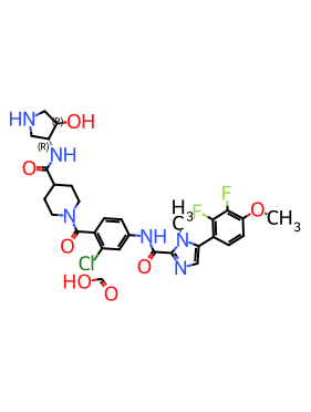 COc1ccc(-c2cnc(C(=O)Nc3ccc(C(=O)N4CCC(C(=O)N[C@@H]5CNC[C@H]5O)CC4)c(Cl)c3)n2C)c(F)c1F.O=CO